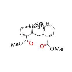 COC(=O)c1cccc(S(=O)(=O)O)c1Cc1c(C(=O)OC)cccc1S(=O)(=O)O